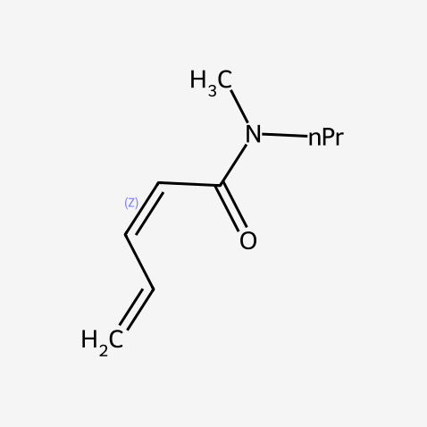 C=C/C=C\C(=O)N(C)CCC